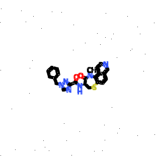 CN1C(=O)[C@@H](NC(=O)c2ncn(CC3C=CC=CC3)n2)CSc2ccc3cnccc3c21